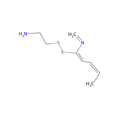 C=N/C(=C\C=C/C)SSCCN